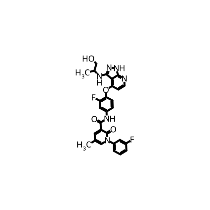 Cc1cc(C(=O)Nc2ccc(Oc3ccnc4[nH]nc(NC(C)CO)c34)c(F)c2)c(=O)n(-c2cccc(F)c2)c1